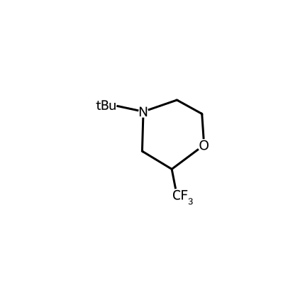 CC(C)(C)N1CCOC(C(F)(F)F)C1